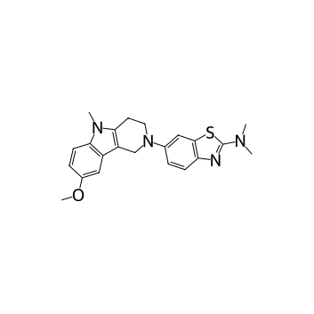 COc1ccc2c(c1)c1c(n2C)CCN(c2ccc3nc(N(C)C)sc3c2)C1